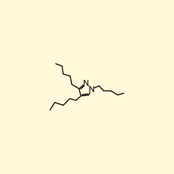 CCCCCc1cn(CCCCC)nc1CCCCC